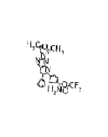 C[C@@H]1CN(c2ncc3cc(-c4ccccc4)c(-c4ccc(C(N)OC(=O)C(F)(F)F)cc4)nc3n2)C[C@H](C)O1